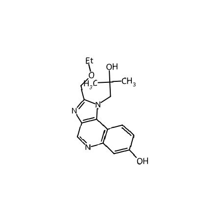 CCOCc1nc2cnc3cc(O)ccc3c2n1CC(C)(C)O